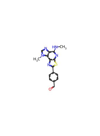 CNc1nc2sc(-c3ccc(C=O)cc3)nc2c2c1ncn2C